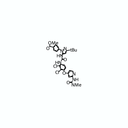 CNC(=O)Nc1cc(Oc2ccc(NC(=O)Nc3cc(C(C)(C)C)nn3-c3ccc(C(=O)OC)cc3)c(Cl)c2Cl)ccn1